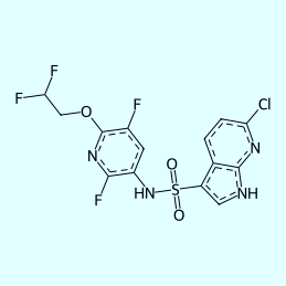 O=S(=O)(Nc1cc(F)c(OCC(F)F)nc1F)c1c[nH]c2nc(Cl)ccc12